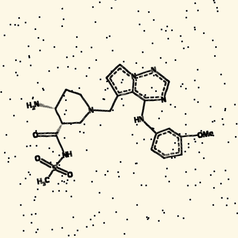 COc1cccc(Nc2ncnn3ccc(CN4CC[C@@H](N)[C@@H](C(=O)NS(C)(=O)=O)C4)c23)c1